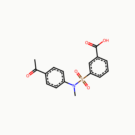 CC(=O)c1ccc(N(C)S(=O)(=O)c2cccc(C(=O)O)c2)cc1